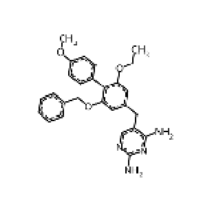 CCOc1cc(Cc2cnc(N)nc2N)cc(OCc2ccccc2)c1-c1ccc(OC)cc1